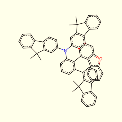 CC1(C)c2ccccc2-c2ccc(N(c3ccc4c(c3)C(C)(C)c3ccccc3-4)c3cccc(-c4cccc5c4C(C)(C)c4ccccc4-5)c3-c3cccc4oc5ccccc5c34)cc21